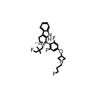 C[C@@H]1Cc2c([nH]c3ccccc23)[C@@H](c2c(F)cc(OC3CN(CCCF)C3)cc2F)N1CC(C)(C)CF